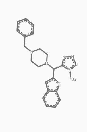 CC(C)(C)n1nnnc1C(c1cc2ccccc2o1)N1CCN(Cc2ccccc2)CC1